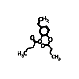 C=Cc1ccc(OC(=O)CCC)c(OC(=O)CCC)c1